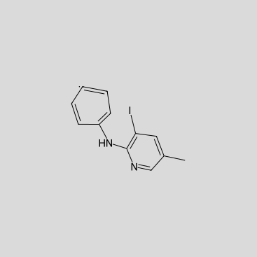 Cc1cnc(Nc2cc[c]cc2)c(I)c1